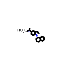 C/C(=C\C(=O)O)c1ccc2c(ccn2C2CCCc3ccccc32)c1